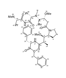 CC[C@H](C)[C@@H]([C@@H](CC(=O)N1CCC[C@H]1[C@H](OC)[C@@H](C)C(=O)N[C@@H](Cc1ccccc1)C(=O)OCc1ccccc1)OC)N(C)[C@H](C(=O)NC(=O)[C@@H](NC)C(C)C)C(C)C